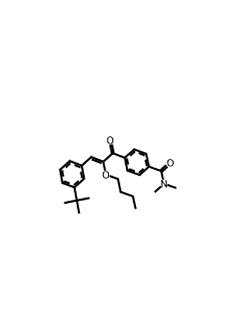 CCCCOC(=Cc1cccc(C(C)(C)C)c1)C(=O)c1ccc(C(=O)N(C)C)cc1